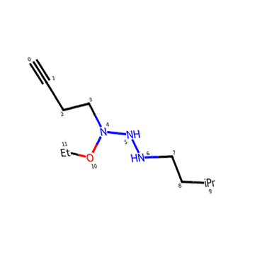 C#CCCN(NNCCC(C)C)OCC